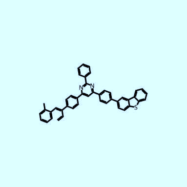 C=C/C(=C\c1ccccc1C)c1ccc(-c2cc(-c3ccc(-c4ccc5sc6ccccc6c5c4)cc3)nc(-c3ccccc3)n2)cc1